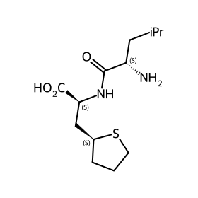 CC(C)C[C@H](N)C(=O)N[C@@H](C[C@@H]1CCCS1)C(=O)O